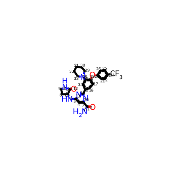 NC(=O)c1cc(N[C@H]2CCNC2=O)nc(-c2ccc(Oc3ccc(C(F)(F)F)cc3)c(N3CCCCC3)c2)n1